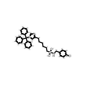 O=S(=O)(CCCCCCc1cn(C(c2ccccc2)(c2ccccc2)c2ccccc2)cn1)NCc1ccc(Cl)cc1